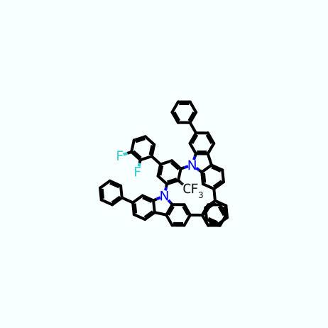 Fc1cccc(-c2cc(-n3c4cc(-c5ccccc5)ccc4c4ccc(-c5ccccc5)cc43)c(C(F)(F)F)c(-n3c4cc(-c5ccccc5)ccc4c4ccc(-c5ccccc5)cc43)c2)c1F